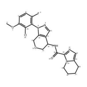 COc1ccc(F)c(-n2ncc3c2COCC3NC(=O)c2ncc3n2CCCC3)c1Cl